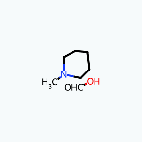 CN1CCCCC1.O=CO